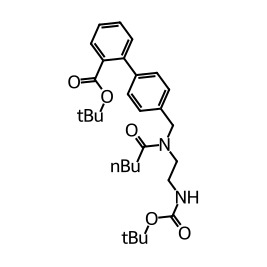 CCCCC(=O)N(CCNC(=O)OC(C)(C)C)Cc1ccc(-c2ccccc2C(=O)OC(C)(C)C)cc1